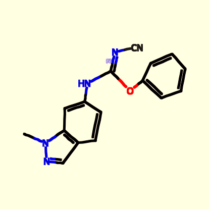 Cn1ncc2ccc(N/C(=N/C#N)Oc3ccccc3)cc21